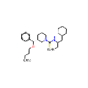 CNC[C@H](CC1CCCCC1)NC(=S)N1CCC[C@@H](C(OCCCOC)c2ccccc2)C1